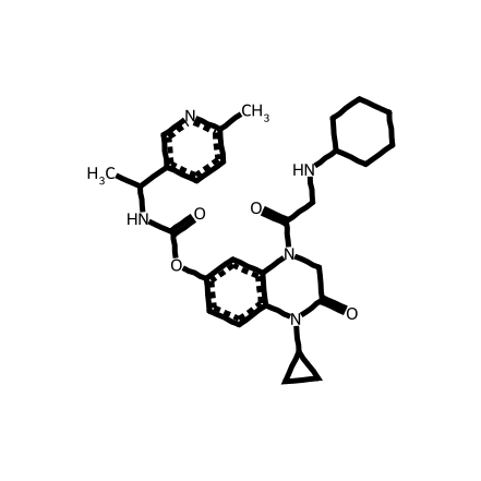 Cc1ccc(C(C)NC(=O)Oc2ccc3c(c2)N(C(=O)CNC2CCCCC2)CC(=O)N3C2CC2)cn1